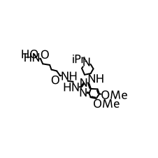 COc1cc2nc(NCCNC(=O)CCCCC(=O)NO)nc(NC3CCN(C(C)C)CC3)c2cc1OC